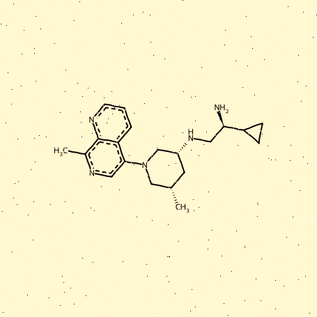 Cc1ncc(N2C[C@@H](C)C[C@@H](NC[C@@H](N)C3CC3)C2)c2cccnc12